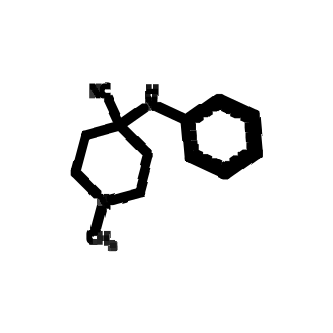 CN1CCC(C#N)(Nc2ccccc2)CC1